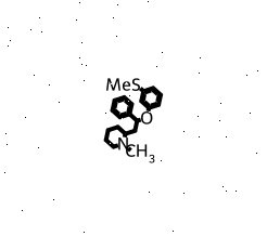 CSc1cccc(OC(CC2CCCCN2C)c2ccccc2)c1